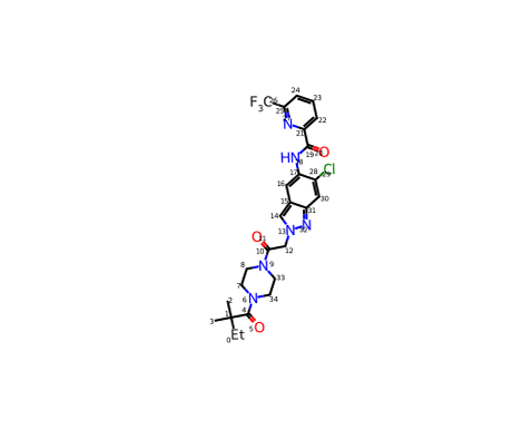 CCC(C)(C)C(=O)N1CCN(C(=O)Cn2cc3cc(NC(=O)c4cccc(C(F)(F)F)n4)c(Cl)cc3n2)CC1